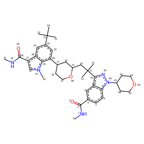 CNC(=O)c1ccc2c(c1)c(C(C)(C)CC1CC(c3cc(C(C)(C)C)cc4c(C(=O)NC)cn(C)c34)CCO1)nn2C1CCOCC1